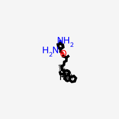 CC(CCC[C@@H](C)[C@H]1CC[C@H]2[C@@H]3CCC4CCCC[C@]4(C)[C@H]3CC[C@]12C)COCc1ccc(N)cc1N